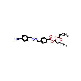 C=CC(=O)OC(CCC)OC(=O)c1ccc(/C=N/N=C/c2ccc(C#N)cc2)cc1